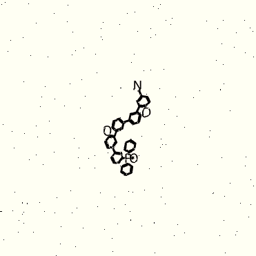 N#Cc1ccc2oc3ccc(-c4ccc5oc6ccc(-c7cccc(P(=O)(c8ccccc8)c8ccccc8)c7)cc6c5c4)cc3c2c1